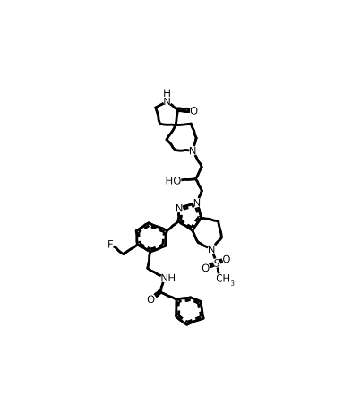 CS(=O)(=O)N1CCc2c(c(-c3ccc(CF)c(CNC(=O)c4ccccc4)c3)nn2CC(O)CN2CCC3(CCNC3=O)CC2)C1